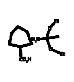 CCOC(C)(N)OCC.O=C(O)C1CCCCC1